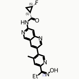 CC/C(=N/O)c1cc(C)c(-c2cnc3cc(NC(=O)[C@@H]4C[C@@H]4F)ncc3c2)cn1